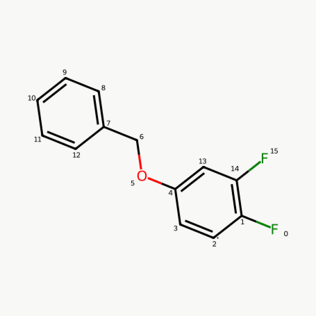 Fc1[c]cc(OCc2ccccc2)cc1F